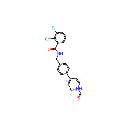 C/C=C(\C=C/NC=O)c1ccc(CNC(=O)c2cccc(F)c2Cl)cc1